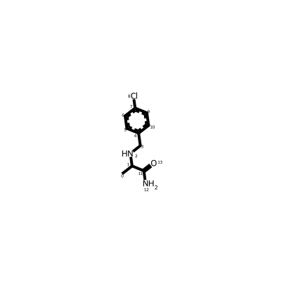 CC(NCc1ccc(Cl)cc1)C(N)=O